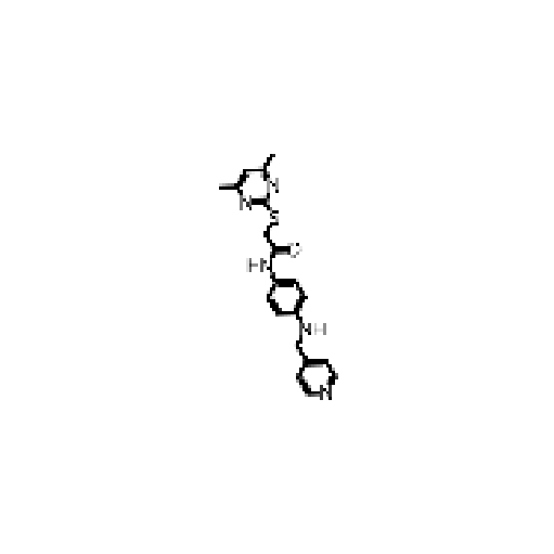 Cc1cc(C)nc(SCC(=O)Nc2ccc(NCc3ccncc3)cc2)n1